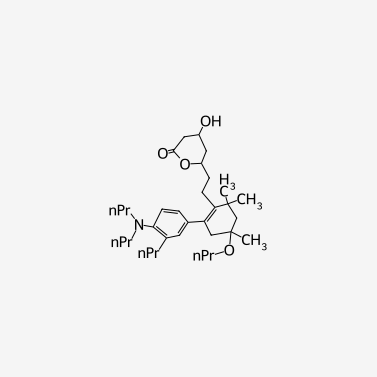 CCCOC1(C)CC(c2ccc(N(CCC)CCC)c(CCC)c2)=C(CCC2CC(O)CC(=O)O2)C(C)(C)C1